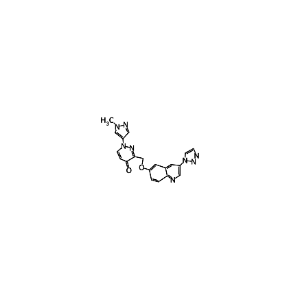 Cn1cc(-n2ccc(=O)c(COc3ccc4ncc(-n5ccnn5)cc4c3)n2)cn1